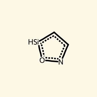 c1c[siH]on1